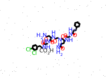 NC(=O)CCC(NC(=O)CNC(=O)/C=C/c1ccccc1)C(=O)NCC(=O)NC(CC(N)=O)C(=O)NCC(=O)NC(Cc1ccc(Cl)c(Cl)c1)C(=O)O